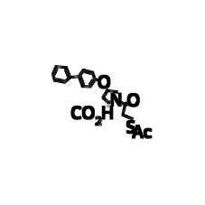 CC(=O)SCCC(=O)N1C[C@@H](Oc2ccc(-c3ccccc3)cc2)C[C@H]1C(=O)O